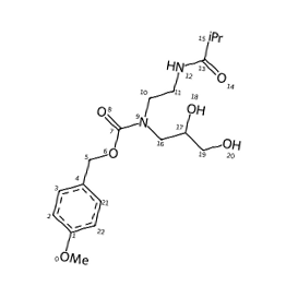 COc1ccc(COC(=O)N(CCNC(=O)C(C)C)CC(O)CO)cc1